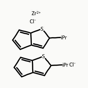 CC(C)C1C=C2C=CC=C2S1.CC(C)C1C=C2C=CC=C2S1.[Cl-].[Cl-].[Zr+2]